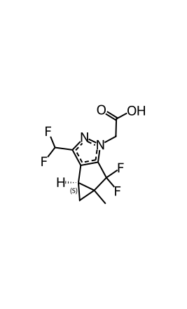 CC12C[C@H]1c1c(C(F)F)nn(CC(=O)O)c1C2(F)F